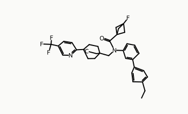 CCc1ccc(-c2cccc(N(CC34CCC(c5ccc(C(F)(F)F)cn5)(CC3)CC4)C(=O)C34CC(F)(C3)C4)c2)cc1